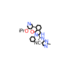 Cc1ncc(C#N)c(N[C@@H](C)c2cc3cccc(-c4cncc(OC(C)C)c4)c3c(=O)n2-c2ccccc2)n1